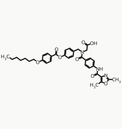 CCCCCCCOc1ccc(C(=O)Oc2ccc(CN(CC(=O)O)C(=O)c3ccc(NC(=O)c4nc(C)oc4C)cc3)cc2)cc1